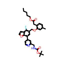 CCCCCOC(=O)Cc1ccc(C)cc1OCc1cc(-c2ccnc(CNC(=O)OC(C)(C)C)c2)c2occc2c1F